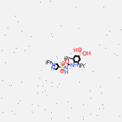 CC(C)c1cc(B(O)O)cc(C(C)C)c1NC(=O)NS(=O)(=O)c1cnn(C(C)C)c1